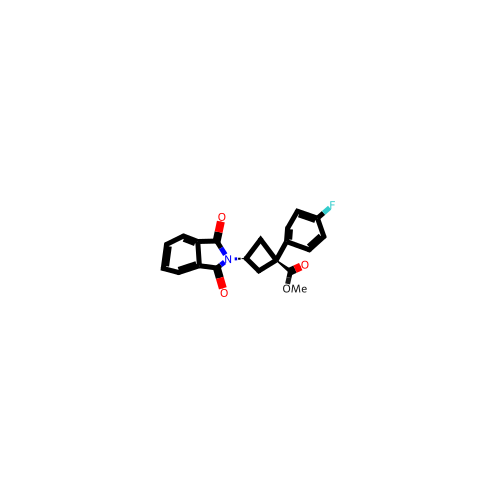 COC(=O)[C@]1(c2ccc(F)cc2)C[C@@H](N2C(=O)c3ccccc3C2=O)C1